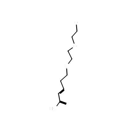 O=C(O)/C=C/CCOCCOCCO